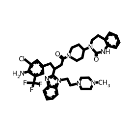 CN1CCN(CCn2c(C(CC(=O)N3CCC(N4CCc5ccccc5NC4=O)CC3)Cc3cc(Cl)c(N)c(C(F)(F)F)c3)nc3ccccc32)CC1